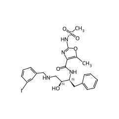 Cc1oc(NS(C)(=O)=O)nc1C(=O)N[C@@H](Cc1ccccc1)[C@@H](O)CNCc1cccc(I)c1